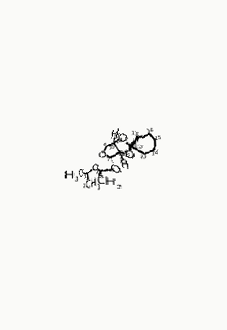 CC(C)OC(C)O[C@@H]1OC[C@@H]2OC3(CCCCC3)O[C@H]12